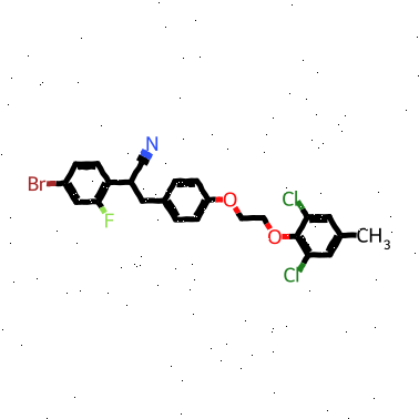 Cc1cc(Cl)c(OCCOc2ccc(CC(C#N)c3ccc(Br)cc3F)cc2)c(Cl)c1